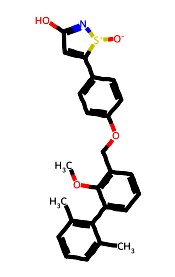 COc1c(COc2ccc(-c3cc(O)n[s+]3[O-])cc2)cccc1-c1c(C)cccc1C